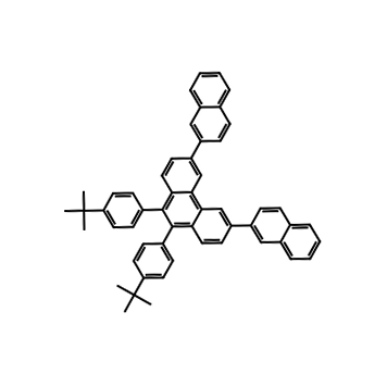 CC(C)(C)c1ccc(-c2c(-c3ccc(C(C)(C)C)cc3)c3ccc(-c4ccc5ccccc5c4)cc3c3cc(-c4ccc5ccccc5c4)ccc23)cc1